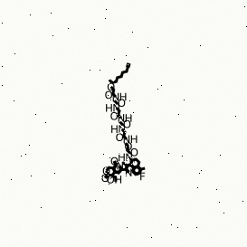 C#CCCCCCC(C)OCC(=O)NCC(=O)NCC(=O)NCC(=O)NCC(=O)NCOCC(=O)N[C@H]1CCc2c(C)c(F)cc3nc4c(c1c23)Cn1c-4cc2c(c1=O)COC(=O)[C@]2(O)CC